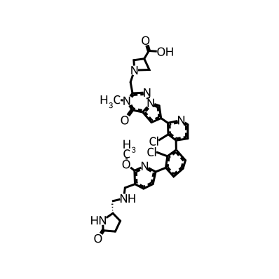 COc1nc(-c2cccc(-c3ccnc(-c4cc5c(=O)n(C)c(CN6CC(C(=O)O)C6)nn5c4)c3Cl)c2Cl)ccc1CNC[C@@H]1CCC(=O)N1